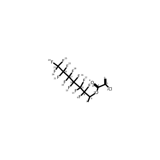 C=C(Cl)C(=O)OC(C)C(F)(F)C(F)(F)C(F)(F)C(F)(F)C(F)(F)C(F)(F)F